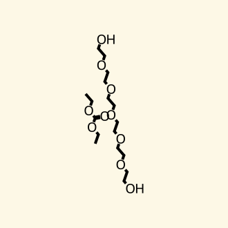 CCOC(=O)OCC.OCCOCCOCCOCCOCCOCCO